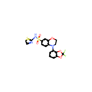 O=S(=O)(Nc1nccs1)c1ccc2c(c1)OCCN2c1cccc2c1OC(F)(F)O2